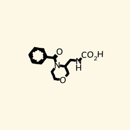 O=C(O)NCC1COCCN1C(=O)c1ccccc1